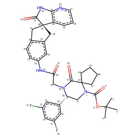 CC(C)(C)OC(=O)N1C[C@H](c2cc(F)cc(F)c2)N(CC(=O)Nc2ccc3c(c2)C[C@@]2(C3)C(=O)Nc3ncccc32)C(=O)C12CCCC2